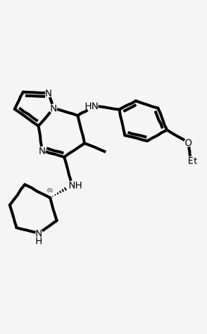 CCOc1ccc(NC2C(C)C(N[C@H]3CCCNC3)=Nc3ccnn32)cc1